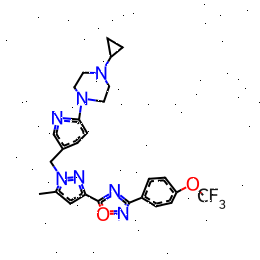 Cc1cc(-c2nc(-c3ccc(OC(F)(F)F)cc3)no2)nn1Cc1ccc(N2CCN(C3CC3)CC2)nc1